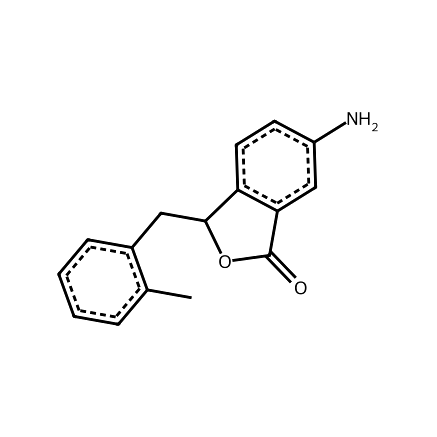 Cc1ccccc1CC1OC(=O)c2cc(N)ccc21